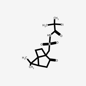 CCC(C)(C)C(=O)NS(=O)(=O)CC12CCC13C(CC2=O)C3(C)C